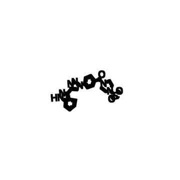 CS(=O)(=O)N1CCN(C(=O)c2ccc(-n3cc(-c4n[nH]c5ccccc45)nn3)cc2)CC1